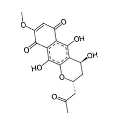 COC1=CC(=O)c2c(O)c3c(c(O)c2C1=O)O[C@@H](CC(C)=O)C[C@@H]3O